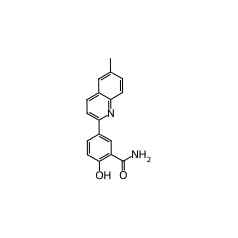 Cc1ccc2nc(-c3ccc(O)c(C(N)=O)c3)ccc2c1